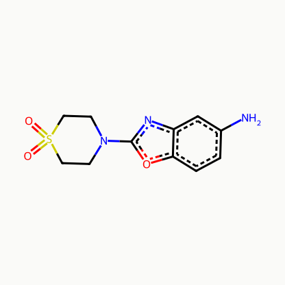 Nc1ccc2oc(N3CCS(=O)(=O)CC3)nc2c1